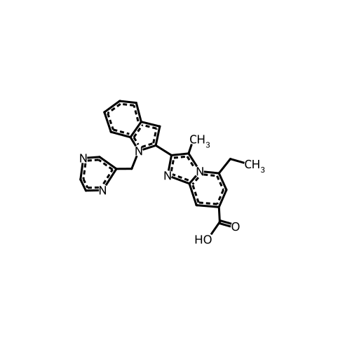 CCc1cc(C(=O)O)cc2nc(-c3cc4ccccc4n3Cc3cnccn3)c(C)n12